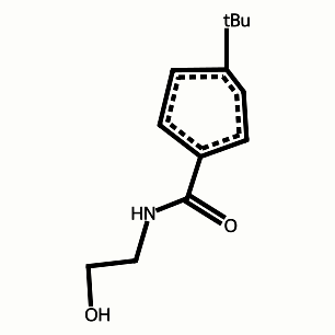 CC(C)(C)c1ccc(C(=O)NCCO)cc1